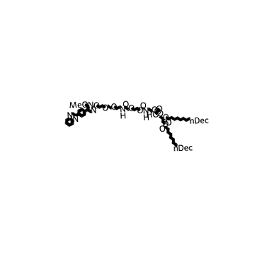 CCCCCCCCCCCCCCCCCC(=O)OCC(COP(=O)(O)OCCNC(=O)OCCOCC(=O)NCCOCCOCCOc1ncc(-c2ccc(-c3cnc4ccccc4n3)cc2)c(OC)n1)OC(=O)CCCCCCCCCCCCCCCCC